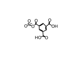 O=C(O)c1cc(C(=O)O)cc(C(=O)O[N+](=O)[O-])c1